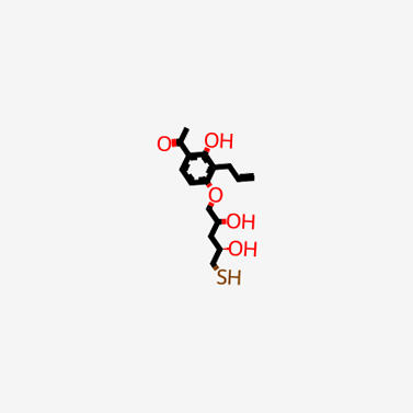 C=CCc1c(OCC(O)C[C@H](O)CS)ccc(C(C)=O)c1O